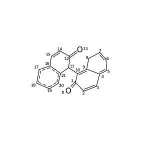 O=C1C=CC2=CC=CCC2=C1C1C(=O)C=Cc2ccccc21